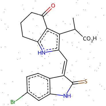 CC(C(=O)O)c1c(/C=C2/C(=S)Nc3cc(Br)ccc32)[nH]c2c1C(=O)CCC2